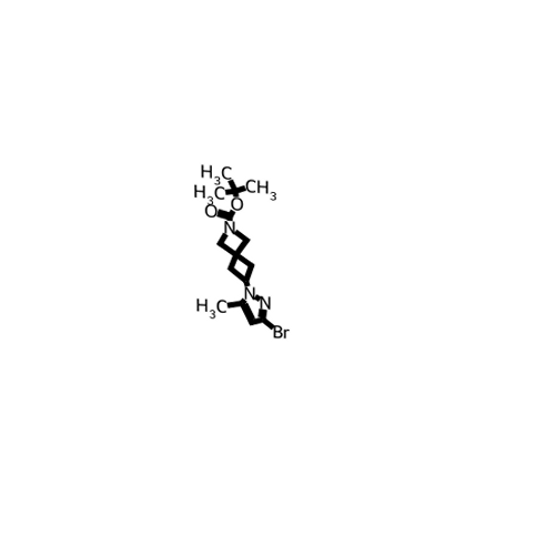 Cc1cc(Br)nn1C1CC2(C1)CN(C(=O)OC(C)(C)C)C2